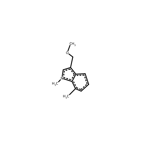 COCc1cn(C)c2c(C)cccc12